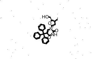 O=c1[nH]c(=O)n([C@@H]2CC(I)[C@H](CO)O2)cc1C(c1ccccc1)(c1ccccc1)c1ccccc1